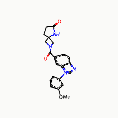 COc1cccc(-n2cnc3ccc(C(=O)N4CC5(CCC(=O)N5)C4)cc32)c1